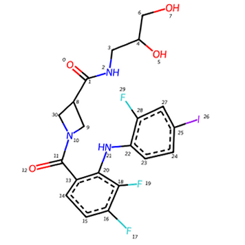 O=C(NCC(O)CO)C1CN(C(=O)c2ccc(F)c(F)c2Nc2ccc(I)cc2F)C1